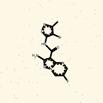 Cc1nsc(NC(=O)c2c(N)nn3cc(F)cnc23)c1Br